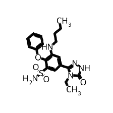 CCCCNc1cc(-c2n[nH]c(=O)n2CC)cc(S(N)(=O)=O)c1Oc1ccccc1